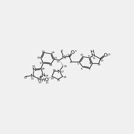 CN(C(=O)Cc1ccc2c(c1)NC(=O)C2)[C@H](CN1CC[C@H](O)C1)c1cccc(-c2nnn(C)n2)c1